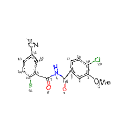 COc1cc(C(=O)NC(=O)c2cc(C#N)ccc2F)ccc1Cl